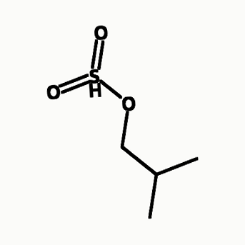 CC(C)CO[SH](=O)=O